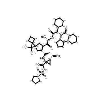 C=C[C@@H]1C[C@]1(NC(=O)[C@@H]1C[C@@]2(CN1C(=O)[C@@H](NC(=O)[C@@H](NC(=O)[C@@H]1CCCCN1C1CCCC1)C1CCCCC1)C(C)(C)C)C(C)(C)C21CCC1)C(=O)NS(=O)(=O)N1CCCC1